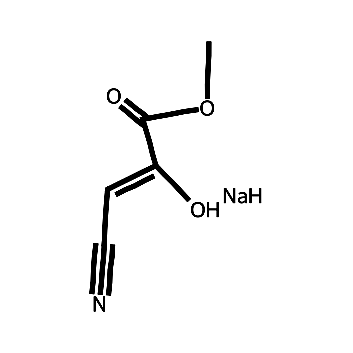 COC(=O)C(O)=CC#N.[NaH]